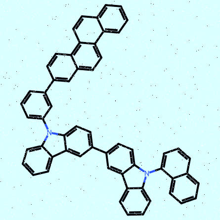 c1cc(-c2ccc3c(ccc4c5ccccc5ccc34)c2)cc(-n2c3ccccc3c3cc(-c4ccc5c(c4)c4ccccc4n5-c4cccc5ccccc45)ccc32)c1